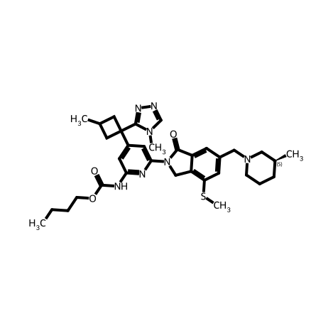 CCCCOC(=O)Nc1cc(C2(c3nncn3C)CC(C)C2)cc(N2Cc3c(SC)cc(CN4CCC[C@H](C)C4)cc3C2=O)n1